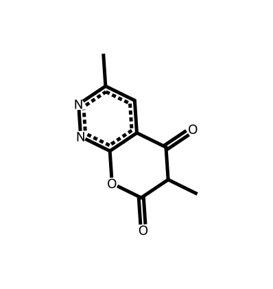 Cc1cc2c(nn1)OC(=O)C(C)C2=O